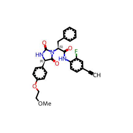 C#Cc1ccc(NC(=O)[C@H](Cc2ccccc2)N2C(=O)N[C@H](c3ccc(OCCOC)cc3)C2=O)c(F)c1